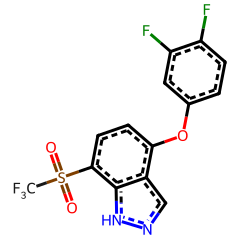 O=S(=O)(c1ccc(Oc2ccc(F)c(F)c2)c2cn[nH]c12)C(F)(F)F